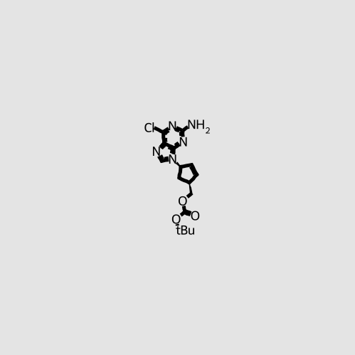 CC(C)(C)OC(=O)OC[C@@H]1C=C[C@H](n2cnc3c(Cl)nc(N)nc32)C1